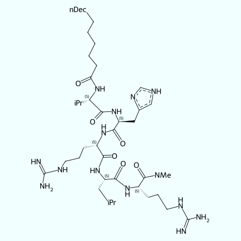 CCCCCCCCCCCCCCCC(=O)N[C@H](C(=O)N[C@@H](Cc1c[nH]cn1)C(=O)N[C@@H](CCCNC(=N)N)C(=O)N[C@@H](CC(C)C)C(=O)N[C@@H](CCCNC(=N)N)C(=O)NC)C(C)C